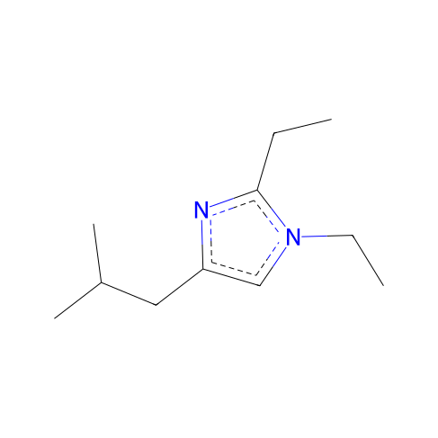 CCc1nc(CC(C)C)cn1CC